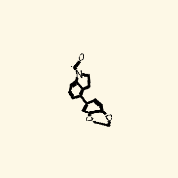 O=[C]N1CCc2c(-c3ccc4c(c3)OCCO4)cccc21